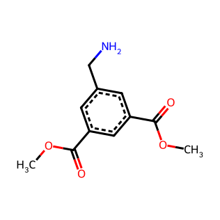 COC(=O)c1cc(CN)cc(C(=O)OC)c1